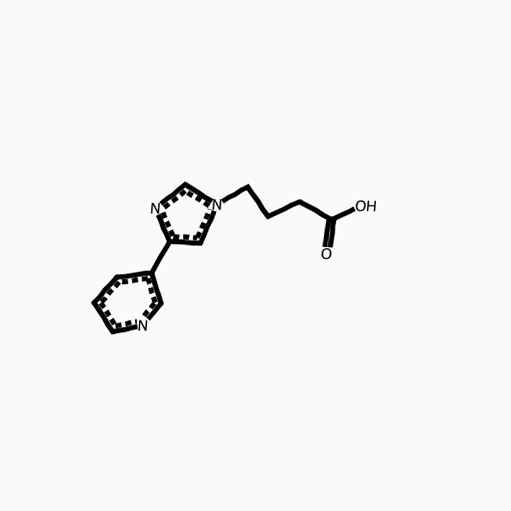 O=C(O)CCCn1cnc(-c2cccnc2)c1